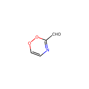 O=CC1=NC=COO1